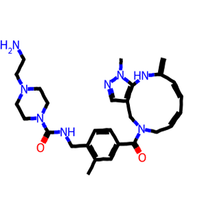 C=C1/C=C\C=C/CN(C(=O)c2ccc(CNC(=O)N3CCN(CCN)CC3)c(C)c2)Cc2cnn(C)c2N1